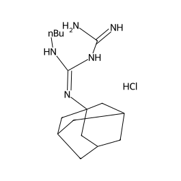 CCCCNC(=NC12CC3CC(CC(C3)C1)C2)NC(=N)N.Cl